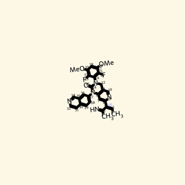 C/C=C(\C(C)=N)c1cc2c(cn1)CN(c1c(F)c(OC)cc(OC)c1F)C(=O)N2c1ccc2ccncc2c1